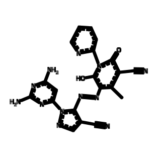 Cc1c(/N=N/c2c(C#N)cnn2-c2cc(N)nc(N)n2)c(O)n(-c2ccccn2)c(=O)c1C#N